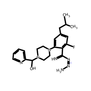 CC(C)Cc1cc(F)c(C(=N)/N=N\N)c(N2CCN(C(O)c3ccccn3)CC2)c1